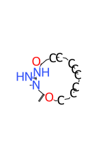 C=C1CN(C)C(=N)NC(=O)CCCCCCCCCCCCCO1